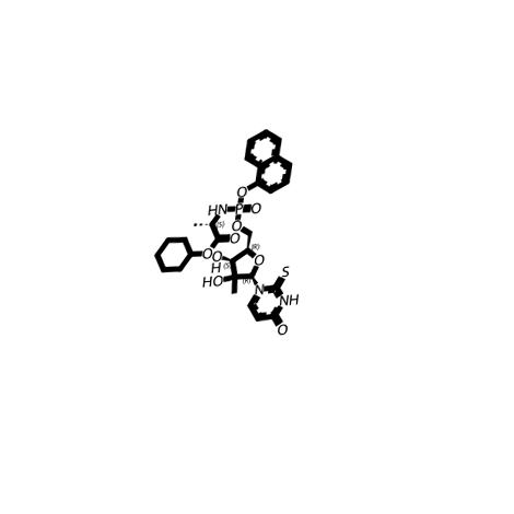 C[C@H](NP(=O)(OC[C@H]1O[C@@H](n2ccc(=O)[nH]c2=S)C(C)(O)[C@H]1O)Oc1cccc2ccccc12)C(=O)OC1CCCCC1